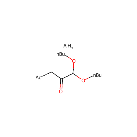 CCCCOC(OCCCC)C(=O)CC(C)=O.[AlH3]